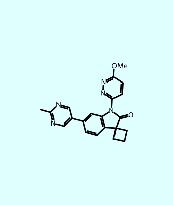 COc1ccc(N2C(=O)C3(CCC3)c3ccc(-c4cnc(C)nc4)cc32)nn1